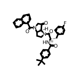 CC(C)(C)c1ccc(C(=O)N[C@@H](Cc2ccc(F)cc2)C(=O)N2CCC3[C@H]2C(=O)CN3C(=O)c2cccc3ccccc23)cc1